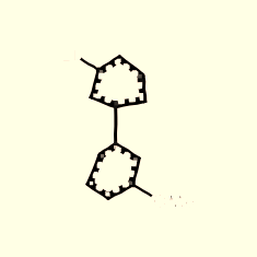 CCc1cccc(-c2cccc(OC)c2)c1